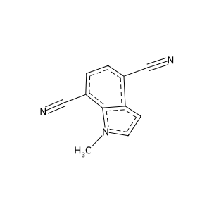 Cn1ccc2c(C#N)ccc(C#N)c21